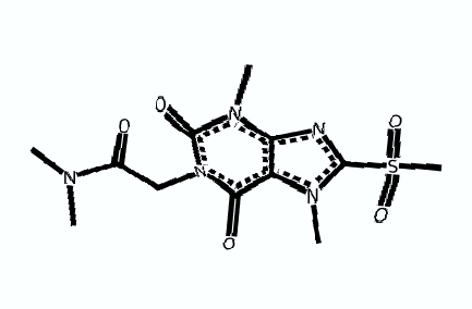 CN(C)C(=O)Cn1c(=O)c2c(nc(S(C)(=O)=O)n2C)n(C)c1=O